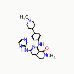 CN1CCC(c2ccc(Nc3nc(Nc4cnccn4)cc4ccn(C)c(=O)c34)cc2)CC1